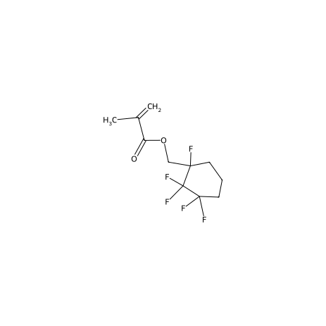 C=C(C)C(=O)OCC1(F)CCCC(F)(F)C1(F)F